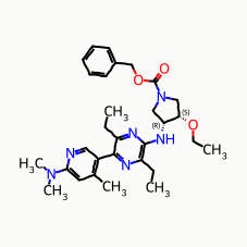 CCO[C@H]1CN(C(=O)OCc2ccccc2)C[C@H]1Nc1nc(CC)c(-c2cnc(N(C)C)cc2C)nc1CC